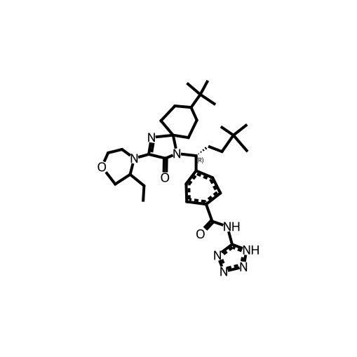 CCC1COCCN1C1=NC2(CCC(C(C)(C)C)CC2)N([C@H](CCC(C)(C)C)c2ccc(C(=O)Nc3nnn[nH]3)cc2)C1=O